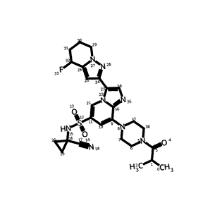 CC(C)C(=O)N1CCN(c2cc(S(=O)(=O)NC3(C#N)CC3)cn3c(-c4cc5n(n4)CCCC5F)cnc23)CC1